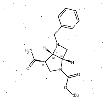 CC(C)(C)OC(=O)N1C[C@@H](C(N)=O)[C@H]2[C@@H]1CN2Cc1ccccc1